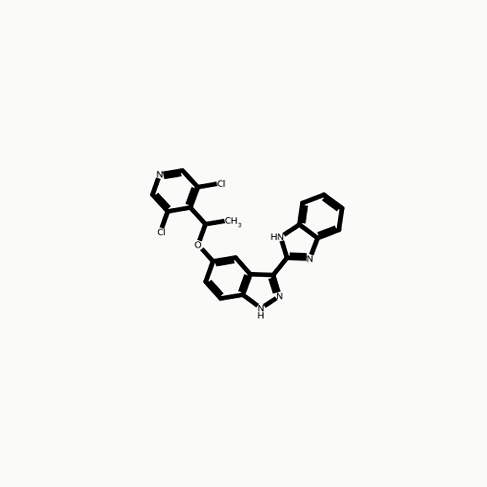 CC(Oc1ccc2[nH]nc(-c3nc4ccccc4[nH]3)c2c1)c1c(Cl)cncc1Cl